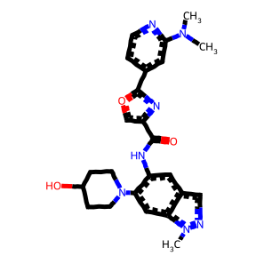 CN(C)c1cc(-c2nc(C(=O)Nc3cc4cnn(C)c4cc3N3CCC(O)CC3)co2)ccn1